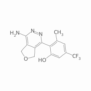 Cc1cc(C(F)(F)F)cc(O)c1-c1nnc(N)c2c1COC2